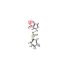 O=C(O)c1cccc(CCCSc2ccccc2)c1